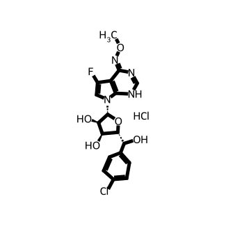 CO/N=c1\nc[nH]c2c1c(F)cn2[C@@H]1O[C@H](C(O)c2ccc(Cl)cc2)[C@@H](O)[C@H]1O.Cl